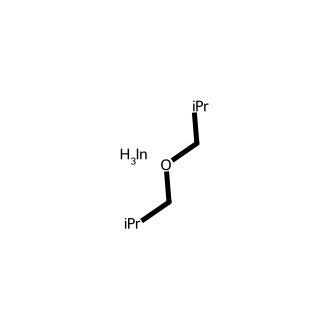 CC(C)COCC(C)C.[InH3]